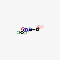 O=C(c1cc(Cl)ccc1Cl)N1CCN(c2ccc(C#Cc3cccc(O)c3)cn2)CC1